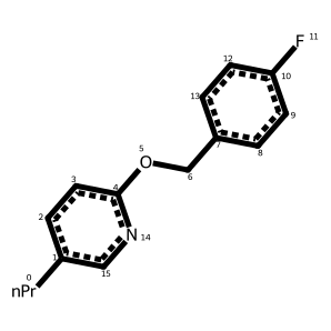 CCCc1ccc(OCc2ccc(F)cc2)nc1